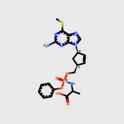 CSc1nc(N)nc2c1ncn2[C@H]1C=C[C@@H](CO[P@](=O)(NC(C)C(=O)O)Oc2ccccc2)C1